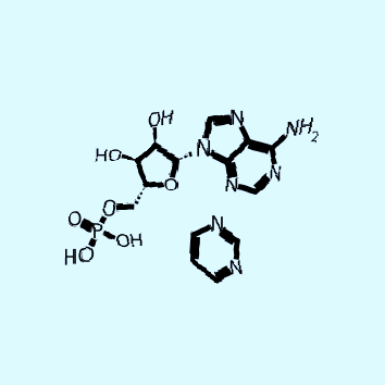 Nc1ncnc2c1ncn2[C@@H]1O[C@H](COP(=O)(O)O)[C@@H](O)[C@H]1O.c1cncnc1